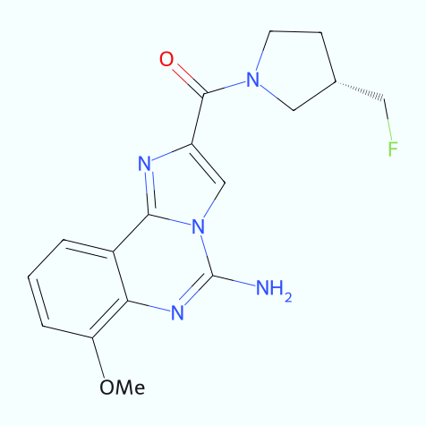 COc1cccc2c1nc(N)n1cc(C(=O)N3CC[C@H](CF)C3)nc21